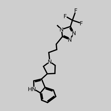 Cn1c(CCCN2CCC(c3c[nH]c4ccccc34)C2)nnc1C(F)(F)F